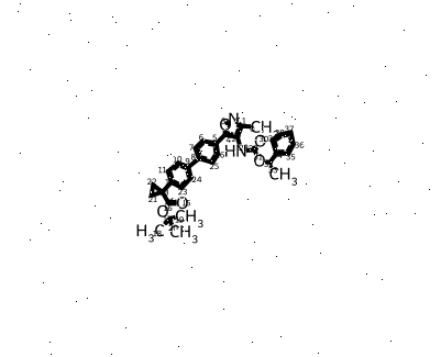 Cc1noc(-c2ccc(-c3ccc(C4(C(=O)OC(C)(C)C)CC4)cc3)cc2)c1NC(=O)O[C@H](C)c1ccccc1